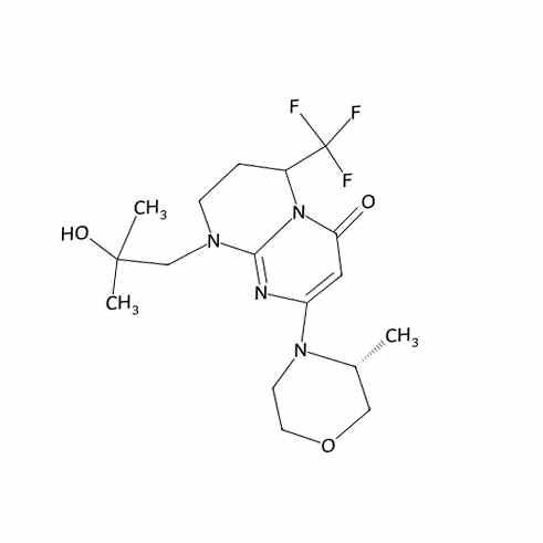 C[C@@H]1COCCN1c1cc(=O)n2c(n1)N(CC(C)(C)O)CCC2C(F)(F)F